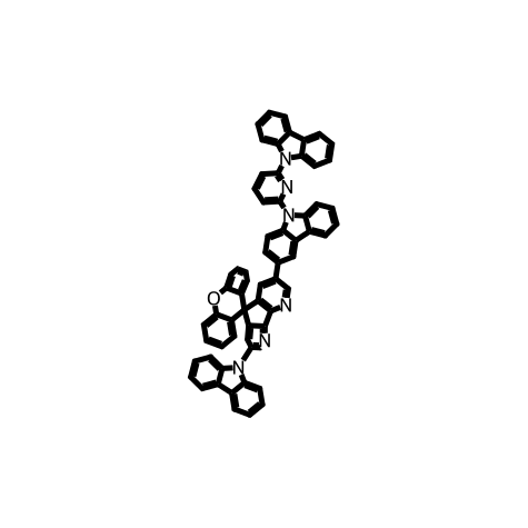 c1cc(-n2c3ccccc3c3ccccc32)nc(-n2c3ccccc3c3cc(-c4cnc5c(c4)C4(c6ccccc6Oc6ccccc64)c4cc(-n6c7ccccc7c7ccccc76)cnc4-5)ccc32)c1